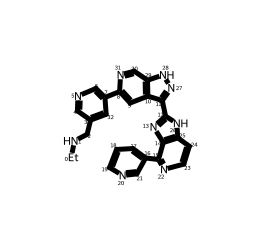 CCNCc1cncc(-c2cc3c(-c4nc5c(-c6cccnc6)nccc5[nH]4)n[nH]c3cn2)c1